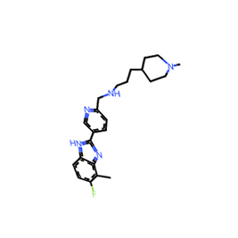 Cc1c(F)ccc2[nH]c(-c3ccc(CNCCCC4CCN(C)CC4)nc3)nc12